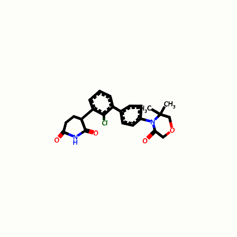 CC1(C)COCC(=O)N1c1ccc(-c2cccc(C3CCC(=O)NC3=O)c2Cl)cc1